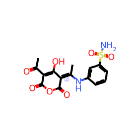 CC(=O)C1=C(O)/C(=C(\C)Nc2cccc(S(N)(=O)=O)c2)C(=O)OC1=O